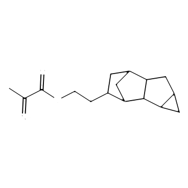 CC(=N)C(=O)OCCC1CC2CC1C1C2CC2CC21